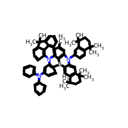 Cc1cc2c3c(c1)N(c1cccc4c1-c1ccccc1C4(C)C)c1cc(N(c4ccccc4)c4ccccc4)ccc1B3c1cc3c(cc1N2c1ccc2c(c1)C(C)(C)CCC2(C)C)C(C)(C)CCC3(C)C